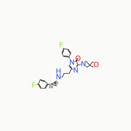 O=c1c(N2CC3(COC3)C2)nc(CCCN[C@@H]2C[C@H]2c2ccc(F)cc2)cn1-c1ccc(F)cc1